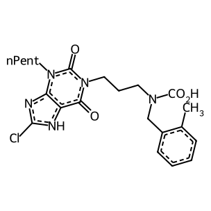 CCCCCn1c(=O)n(CCCN(Cc2ccccc2C)C(=O)O)c(=O)c2[nH]c(Cl)nc21